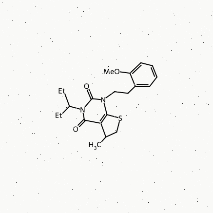 CCC(CC)n1c(=O)c2c(n(CCc3ccccc3OC)c1=O)SCC2C